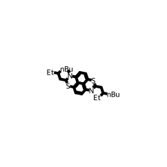 CCCCC(CC)CC1=Nc2ccc3c4c(ccc(c24)S1)N(C)C(CC(CC)CCCC)S3